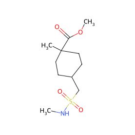 CNS(=O)(=O)CC1CCC(C)(C(=O)OC)CC1